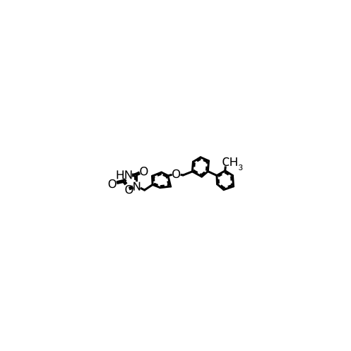 Cc1ccccc1-c1cccc(COc2ccc(Cn3oc(=O)[nH]c3=O)cc2)c1